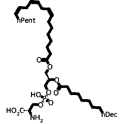 CCCCC/C=C\C/C=C\C/C=C\CCCCCCC(=O)OC[C@H](COP(=O)(O)OC[C@H](N)C(=O)O)OC(=O)CCCCCCCCCCCCCCCCC